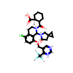 C[C@]1(C(=O)O)CCCCC1C(=O)N1CCc2c(Cl)ccc(OCc3cncnc3C(F)(F)F)c2C1N1CC2(CC2)CC1=O